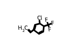 C=CC1=CC(Cl)C(C(F)(F)F)C=C1